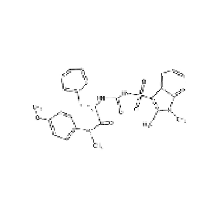 COc1ccc(N(C)C(=O)[C@H](Cc2ccccc2)NC(=O)NS(=O)(=O)c2c(C)n(C)c3ccccc23)cc1